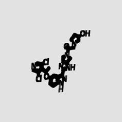 CC(Oc1ccc2[nH]nc(-c3nc4c([nH]3)CN(C(=O)CN3CCC(O)C3)C4)c2c1)c1c(Cl)cncc1Cl